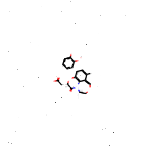 COc1cccc([C@@H]2C=C(C)C3=COC[C@@H](C)N4C(=O)[C@@H](CC(=O)O)OC2=C34)c1OC